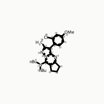 CCCCN(CCCC)c1c2c(nc3c(-c4ccc(OC)cc4Cl)c(C)nn13)CCC2